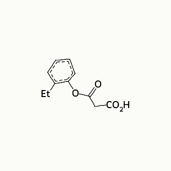 CCc1ccccc1OC(=O)CC(=O)O